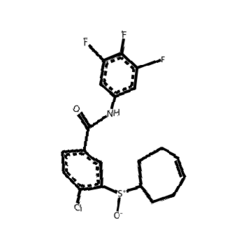 O=C(Nc1cc(F)c(F)c(F)c1)c1ccc(Cl)c([S+]([O-])C2CCC=CCC2)c1